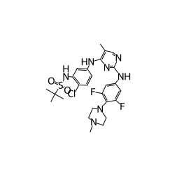 Cc1cnc(Nc2cc(F)c(N3CCN(C)CC3)c(F)c2)nc1Nc1ccc(Cl)c(NS(=O)(=O)C(C)(C)C)c1